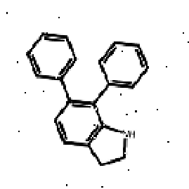 c1ccc(-c2ccc3c(c2-c2ccccc2)NCC3)cc1